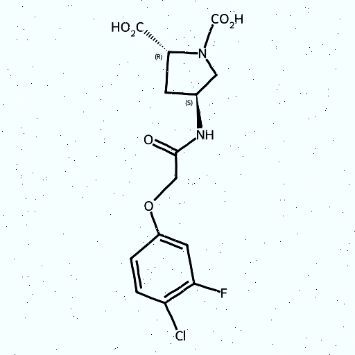 O=C(COc1ccc(Cl)c(F)c1)N[C@H]1C[C@H](C(=O)O)N(C(=O)O)C1